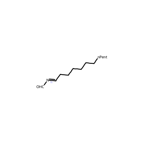 [CH2]CCCCCCCCCC/[C]=N/C=O